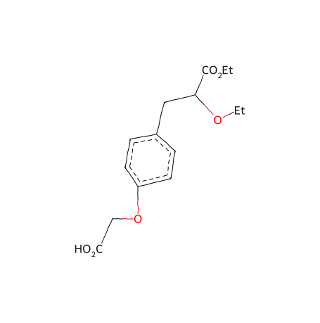 CCOC(=O)C(Cc1ccc(OCC(=O)O)cc1)OCC